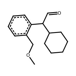 COCc1ccccc1C(C=O)C1CCCCC1